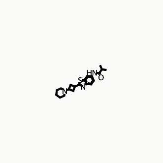 CC(C)C(=O)Nc1ccc2nc(C3CC(N4CCCCC4)C3)sc2c1